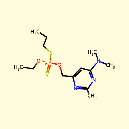 CCCS[P@@](=S)(OCC)OCc1cc(N(C)C)nc(C)n1